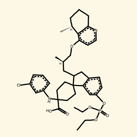 CCOP(=O)(OCC)Oc1ccc2c(c1)C1(CCC(Nc3cccc(Cl)c3)(C(=O)O)CC1)C(C[C@@H](C)COc1ccnc3c1[C@H](C)CCC3)C2